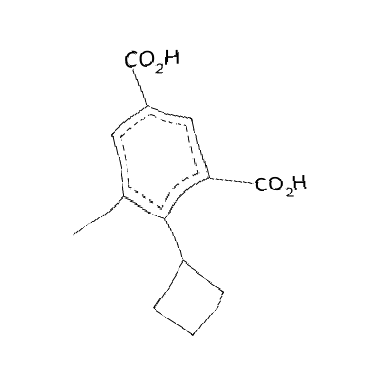 Cc1cc(C(=O)O)cc(C(=O)O)c1C1CCC1